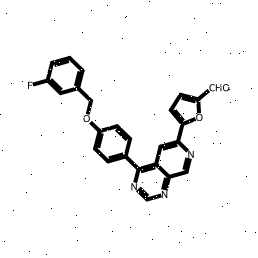 O=Cc1ccc(-c2cc3c(-c4ccc(OCc5cccc(F)c5)cc4)ncnc3cn2)o1